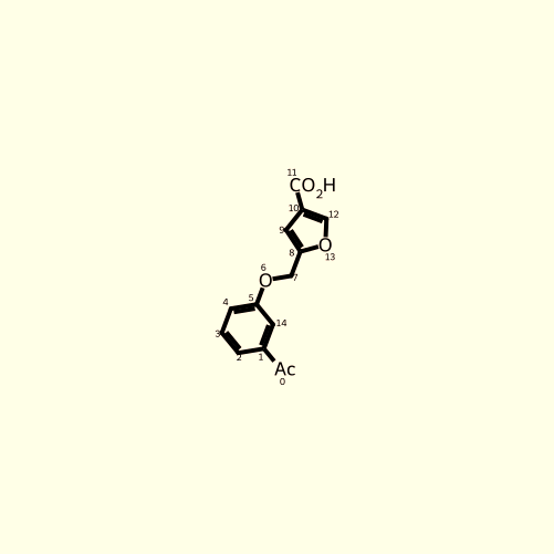 CC(=O)c1cccc(OCc2cc(C(=O)O)co2)c1